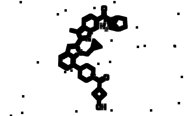 Cc1c(-c2cc3cccc(C4CCN(C(=O)C5CC(O)C5)CC4)c3n2CC2CC2)nn2cc(C(=O)N3CC4CCC3[C@@H]4N)ccc12